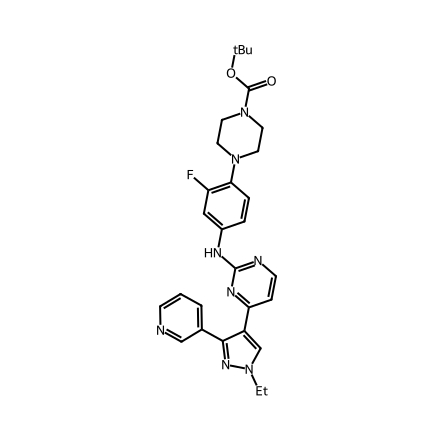 CCn1cc(-c2ccnc(Nc3ccc(N4CCN(C(=O)OC(C)(C)C)CC4)c(F)c3)n2)c(-c2cccnc2)n1